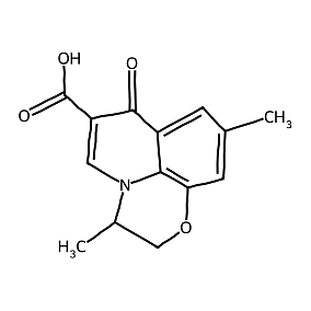 Cc1cc2c3c(c1)c(=O)c(C(=O)O)cn3C(C)CO2